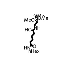 CCCCCCNC(=O)CCCCC(O)NCC[Si](OC)(OC)OC